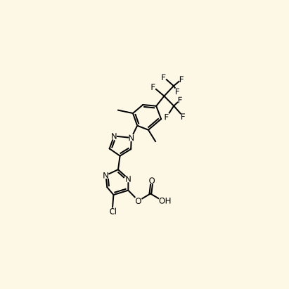 Cc1cc(C(F)(C(F)(F)F)C(F)(F)F)cc(C)c1-n1cc(-c2ncc(Cl)c(OC(=O)O)n2)cn1